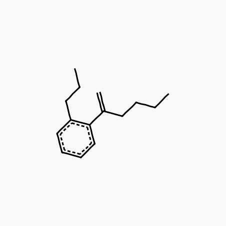 C=C(CCCC)c1ccccc1CCC